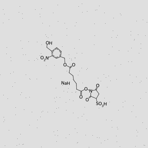 O=C(CCCCCC(=O)ON1C(=O)CC(S(=O)(=O)O)C1=O)OCc1ccc(CO)c([N+](=O)[O-])c1.[NaH]